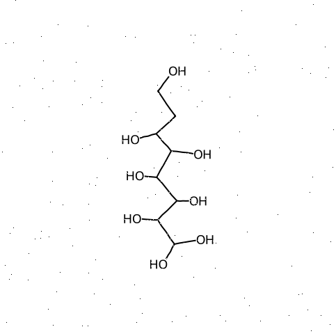 OCCC(O)C(O)C(O)C(O)C(O)C(O)O